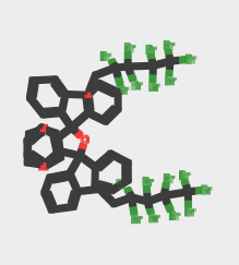 BrC(Br)(Br)C(Br)(Br)C(Br)(Br)C(Br)(Br)CCc1ccccc1C(OC(c1ccccc1)(c1ccccc1)c1ccccc1CCC(Br)(Br)C(Br)(Br)C(Br)(Br)C(Br)(Br)Br)(c1ccccc1)c1ccccc1